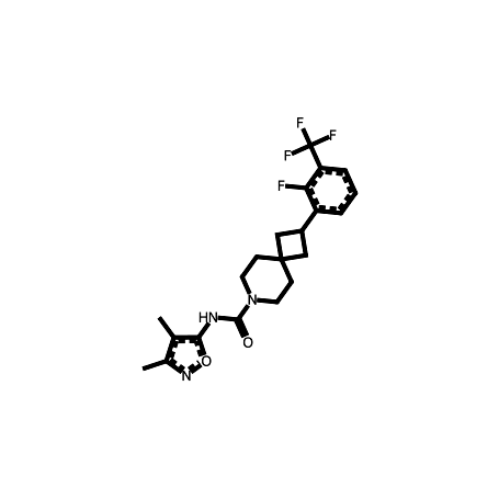 Cc1noc(NC(=O)N2CCC3(CC2)CC(c2cccc(C(F)(F)F)c2F)C3)c1C